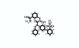 CCCN(Cc1cccc(C(=N)N)c1)C(=O)C(Cc1ccccc1)c1ccc(-c2ccccc2S(N)(=O)=O)cc1